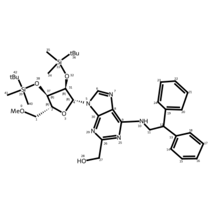 COC[C@H]1O[C@@H](n2cnc3c(NCC(c4ccccc4)c4ccccc4)nc(CO)nc32)[C@H](O[Si](C)(C)C(C)(C)C)[C@@H]1O[Si](C)(C)C(C)(C)C